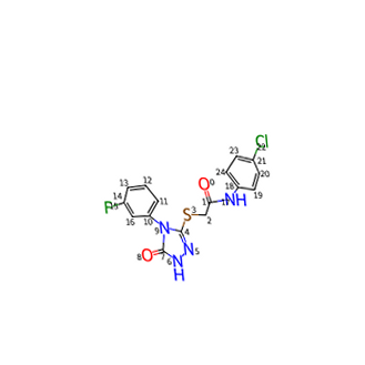 O=C(CSc1n[nH]c(=O)n1-c1cccc(F)c1)Nc1ccc(Cl)cc1